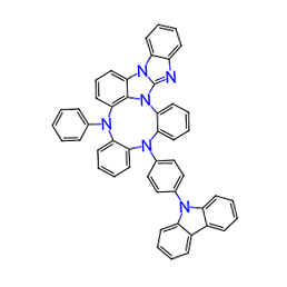 c1ccc(-n2c3ccccc3n(-c3ccc(-n4c5ccccc5c5ccccc54)cc3)c3ccccc3n3c4c2cccc4n2c4ccccc4nc23)cc1